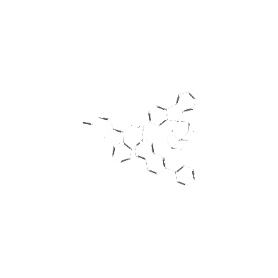 C=C/C=C\c1oc2ccccc2c1CN(c1ccc2c(c1)C1(c3ccccc3-2)C2CC3CC(C2)CC1C3)c1ccc2ccc(-c3ccccc3)cc2c1